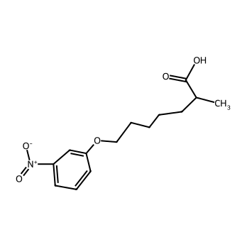 CC(CCCCCOc1cccc([N+](=O)[O-])c1)C(=O)O